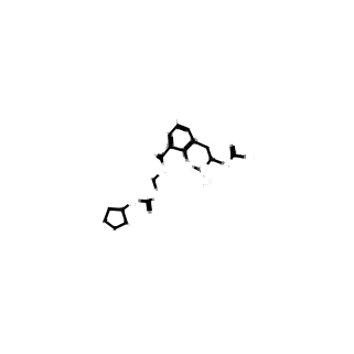 CCC(=O)NC1Cc2cccc(C(=O)OCOC(=O)OC3CCCC3)c2OB1O